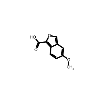 COc1ccc2c(C(=O)O)occ2c1